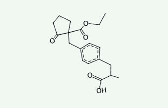 CCOC(=O)C1(Cc2ccc(CC(C)C(=O)O)cc2)CCCC1=O